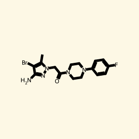 Cc1c(Br)c(N)nn1CC(=O)N1CCN(c2ccc(F)cc2)CC1